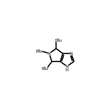 CC(C)(C)C1c2nc[nH]c2C(C(C)(C)C)N1C(C)(C)C